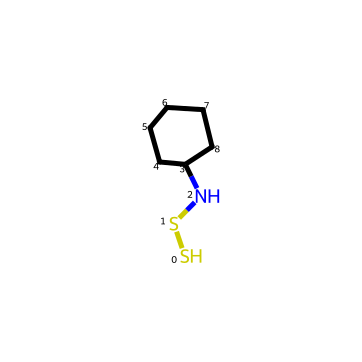 SSNC1CCCCC1